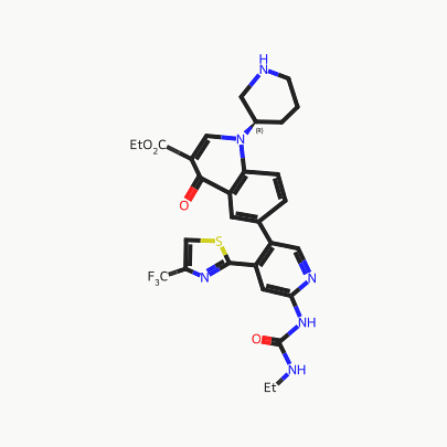 CCNC(=O)Nc1cc(-c2nc(C(F)(F)F)cs2)c(-c2ccc3c(c2)c(=O)c(C(=O)OCC)cn3[C@@H]2CCCNC2)cn1